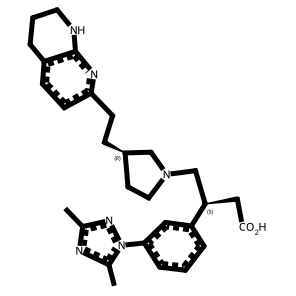 Cc1nc(C)n(-c2cccc([C@H](CC(=O)O)CN3CC[C@@H](CCc4ccc5c(n4)NCCC5)C3)c2)n1